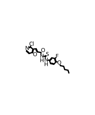 CCCCCOc1ccc(NC(=S)NC(=O)c2cc3c(Cl)nccc3o2)cc1F